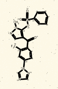 Cn1ncc(C(=O)c2ccc(-n3cncn3)cc2C(F)(F)F)c1OS(=O)(=O)c1ccccc1